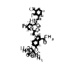 CCC(CC)(Oc1ccc2c(c1)c(C(C)=O)cn2CC(=O)N1C[C@H](F)C[C@H]1C(=O)NCc1cccc(Cl)c1F)P(=O)(O)O